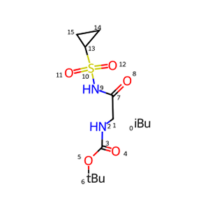 CC[C@H](C)C(NC(=O)OC(C)(C)C)C(=O)NS(=O)(=O)C1CC1